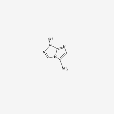 Nc1cnc2n(O)ncn12